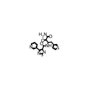 NC(=O)C(=O)C(Cc1ccsc1)NC(=O)c1nsnc1-c1cccnc1